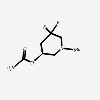 CC(C)(C)N1C[C@@H](OC(N)=O)CC(F)(F)C1